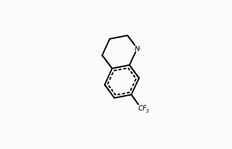 FC(F)(F)c1ccc2c(c1)[N]CCC2